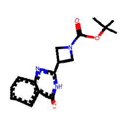 CC(C)(C)OC(=O)N1CC(c2nc3ccccc3c(=O)[nH]2)C1